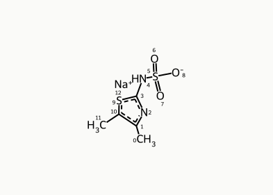 Cc1nc(NS(=O)(=O)[O-])sc1C.[Na+]